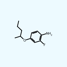 CCCC(C)Oc1ccc(N)c(F)c1